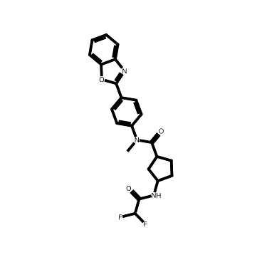 CN(C(=O)C1CCC(NC(=O)C(F)F)C1)c1ccc(-c2nc3ccccc3o2)cc1